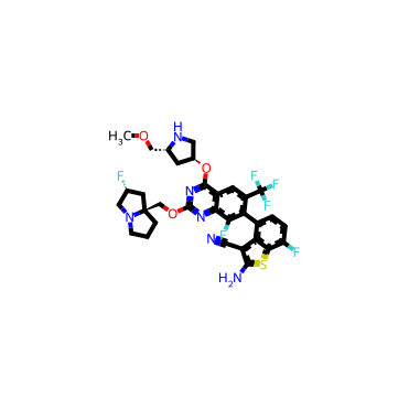 COC[C@H]1C[C@@H](Oc2nc(OC[C@@]34CCCN3C[C@H](F)C4)nc3c(F)c(-c4ccc(F)c5sc(N)c(C#N)c45)c(C(F)(F)F)cc23)CN1